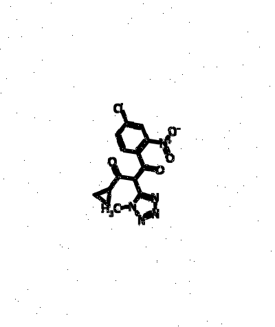 Cn1nnnc1C(C(=O)c1ccc(Cl)cc1[N+](=O)[O-])C(=O)C1CC1